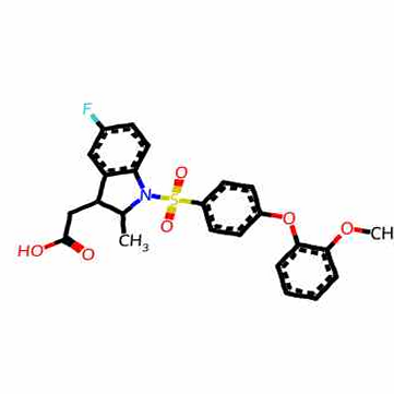 COc1ccccc1Oc1ccc(S(=O)(=O)N2c3ccc(F)cc3C(CC(=O)O)C2C)cc1